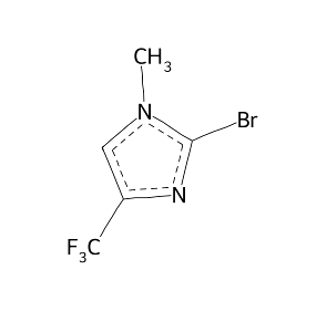 Cn1cc(C(F)(F)F)nc1Br